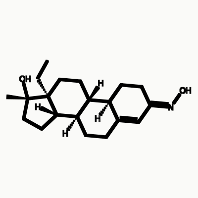 CC[C@]12CC[C@H]3[C@@H](CCC4=C/C(=N/O)CC[C@@H]43)[C@@H]1CC[C@]2(C)O